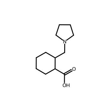 O=C(O)C1CCCCC1CN1CCCC1